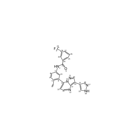 O=C(Nc1ccc(F)c(-c2ccnc3c(-c4cn[nH]c4)cnn23)c1)c1cccc(C(F)(F)F)c1